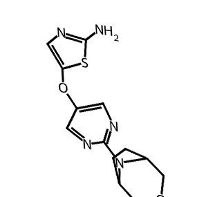 Nc1ncc(Oc2cnc(N3C4CCC3COC4)nc2)s1